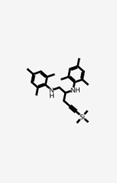 Cc1cc(C)c(NCC(CC#C[Si](C)(C)C)Nc2c(C)cc(C)cc2C)c(C)c1